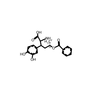 C[C@@H](CC(c1ccc(O)c(O)c1)C(N)C(=O)O)OC(=O)c1ccccc1